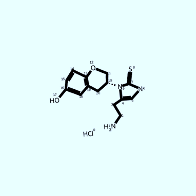 Cl.NCCC1=C[N]C(=S)N1[C@H]1COc2ccc(O)cc2C1